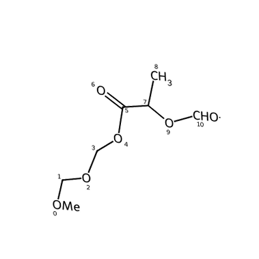 COCOCOC(=O)C(C)O[C]=O